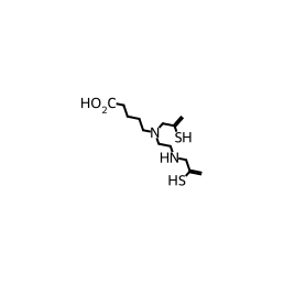 C=C(S)CNCCN(CCCCC(=O)O)CC(=C)S